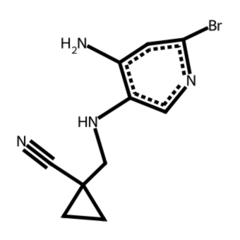 N#CC1(CNc2cnc(Br)cc2N)CC1